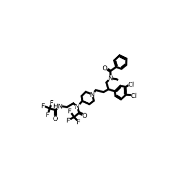 CN(CC(CCN1CCC(N(CCNC(=O)C(F)(F)F)C(=O)C(F)(F)F)CC1)c1ccc(Cl)c(Cl)c1)C(=O)c1ccccc1